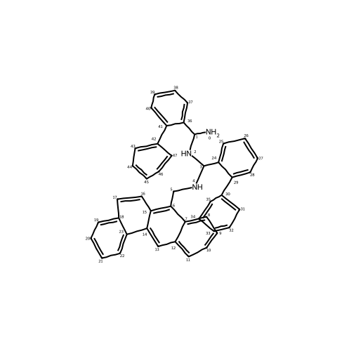 NC(NC(NCc1c2ccccc2cc2c1ccc1ccccc12)c1ccccc1-c1ccccc1)c1ccccc1-c1ccccc1